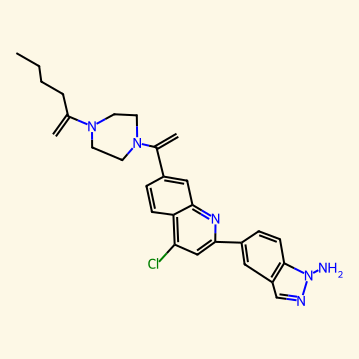 C=C(CCCC)N1CCN(C(=C)c2ccc3c(Cl)cc(-c4ccc5c(cnn5N)c4)nc3c2)CC1